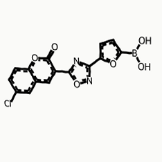 O=c1oc2ccc(Cl)cc2cc1-c1nc(-c2ccc(B(O)O)o2)no1